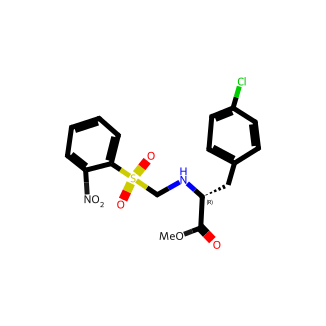 COC(=O)[C@@H](Cc1ccc(Cl)cc1)NCS(=O)(=O)c1ccccc1[N+](=O)[O-]